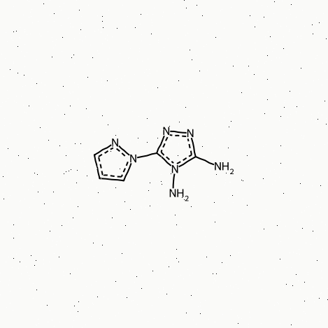 Nc1nnc(-n2cccn2)n1N